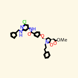 COC(=O)C[C@@H]1C[C@@H](COc2ccc(C(=O)Nc3cc(Cl)nc(NCc4ccccc4)c3)cc2)N(CCCc2ccccc2)C1=O